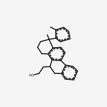 Cc1ccccc1C1(C)CCCc2c1ccc1c2C(CCO)Cc2ccccc2-1